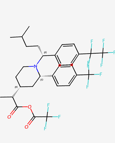 CC(C)CC[C@H](c1ccc(C(F)(F)C(F)(F)F)cc1)N1CC[C@@H](C(C)C(=O)OC(=O)C(F)(F)F)C[C@H]1c1ccc(C(F)(F)F)cc1